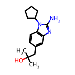 CC(C)(O)Cc1ccc2c(c1)nc(N)n2C1CCCC1